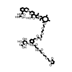 CCC1(Cn2ncc(-c3ccc(N4CCc5cccc(C(=O)NC(=N)S)c5C4)nc3C(=O)O)c2C)CC(C)CC(C)CC(C)(OCCOCCOCCN(C)C(=O)OCc2ccc(O[C@H]3C[C@@H](O)[C@@H](O)[C@@H](C(=O)O)O3)c(NC(=O)CCNC(=O)COCCOCCN3C(=O)C=CC3=O)c2)C1